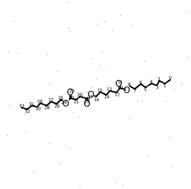 CCCCCCCCCOC(=O)CCCCCOC(=O)CCC(=O)OCCCCCCCCC